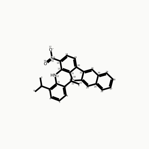 CC(C)c1cccc(C(C)C)c1Nc1c([N+](=O)[O-])ccc2c1oc1cc3ccccc3cc12